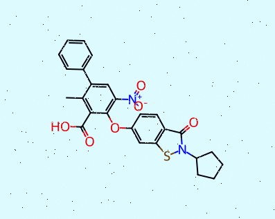 Cc1c(-c2ccccc2)cc([N+](=O)[O-])c(Oc2ccc3c(=O)n(C4CCCC4)sc3c2)c1C(=O)O